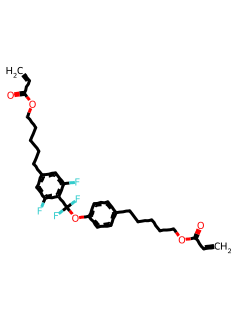 C=CC(=O)OCCCCCc1ccc(OC(F)(F)c2c(F)cc(CCCCCOC(=O)C=C)cc2F)cc1